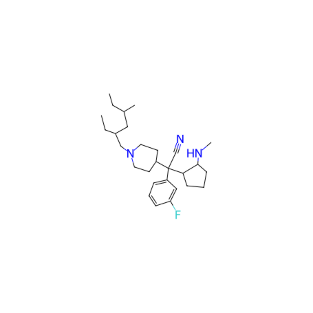 CCC(C)CC(CC)CN1CCC(C(C#N)(c2cccc(F)c2)C2CCCC2NC)CC1